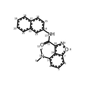 CN(C)c1cccc2onc(C(=O)Nc3ccc4ccccc4c3)c12